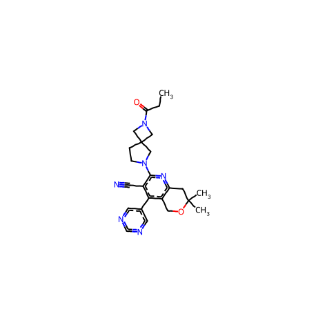 CCC(=O)N1CC2(CCN(c3nc4c(c(-c5cncnc5)c3C#N)COC(C)(C)C4)C2)C1